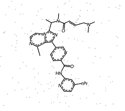 CCCc1ccnc(NC(=O)c2ccc(-c3nc(C(C)N(C)C(=O)C=CCN(C)C)n4ccnc(C)c34)cc2)c1